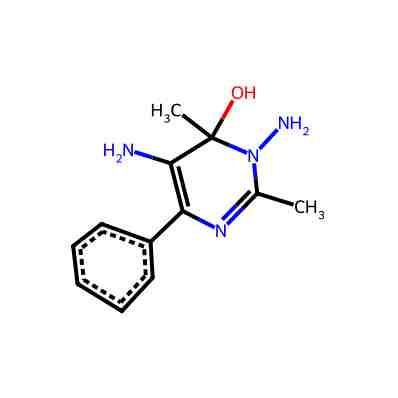 CC1=NC(c2ccccc2)=C(N)C(C)(O)N1N